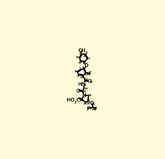 Cc1ccc(Oc2cccc(C(=O)NCC(=O)N3C[C@H](OC(F)F)C[C@H]3C(=O)O)c2F)cc1